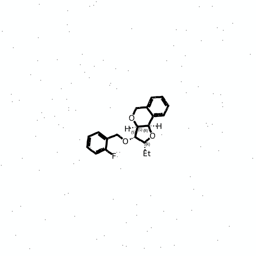 CC[C@H]1O[C@@H]2c3ccccc3CO[C@@H]2[C@H]1OCc1ccccc1F